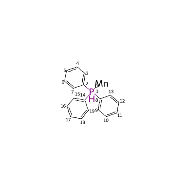 [Mn][PH](c1ccccc1)(c1ccccc1)c1ccccc1